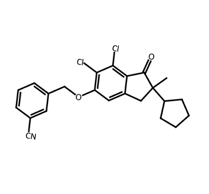 CC1(C2CCCC2)Cc2cc(OCc3cccc(C#N)c3)c(Cl)c(Cl)c2C1=O